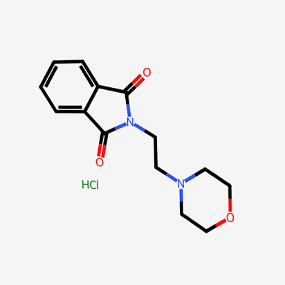 Cl.O=C1c2ccccc2C(=O)N1CCN1CCOCC1